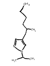 CCCCC(C)c1cnn(C(C)C)c1